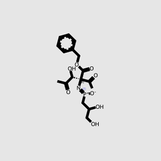 CC(=O)C(O)[C@@](/N=[P+](\[O-])CC(O)CO)(C(C)=O)C(=O)OCc1ccccc1